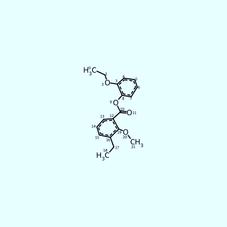 CCOc1ccccc1OC(=O)c1cccc(CC)c1OC